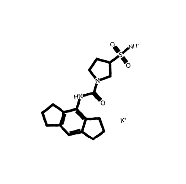 [K+].[NH-]S(=O)(=O)C1CCN(C(=O)Nc2c3c(cc4c2CCC4)CCC3)C1